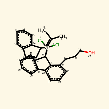 C[C](C)=[Zr]([Cl])([Cl])([CH]1C=Cc2ccccc21)[CH]1c2ccccc2-c2cccc(CCCO)c21